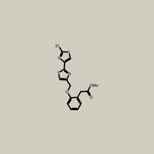 CCc1nc(-c2nc(COc3ccccc3CC(=O)OC)cs2)cs1